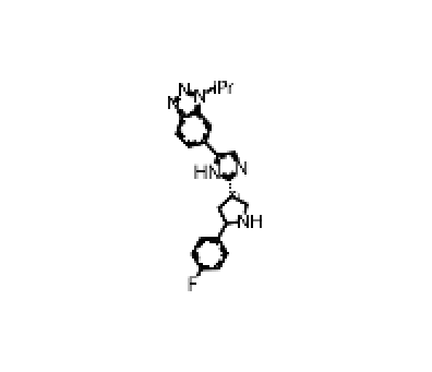 CC(C)n1nnc2ccc(-c3cnc([C@@H]4CNC(c5ccc(F)cc5)C4)[nH]3)cc21